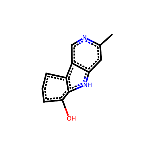 Cc1cc2[nH]c3c(O)cccc3c2cn1